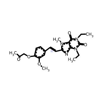 CCn1c(=O)c2c(nc(/C=C/c3ccc(OCC(C)=O)c(OC)c3)n2C)n(CC)c1=O